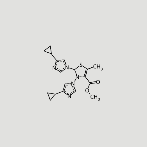 COC(=O)C1=C(C)SC(n2cnc(C3CC3)c2)N1n1cnc(C2CC2)c1